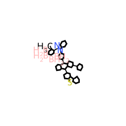 Bc1c(B)c(B)c(-c2nc3ccccc3n2-c2ccc(-c3c4ccccc4c(-c4ccc5sc6ccccc6c5c4)c4cc(-c5ccccc5)ccc34)cc2)c(C)c1B